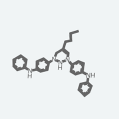 CCCCC1=CN(c2ccc(Nc3ccccc3)cc2)NN(c2ccc(Nc3ccccc3)cc2)C1